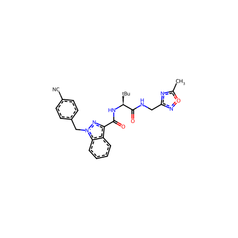 Cc1nc(CNC(=O)[C@@H](NC(=O)c2nn(Cc3ccc(C#N)cc3)c3ccccc23)C(C)(C)C)no1